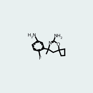 CC1(c2cc(N)ccc2F)CC2(CCC2)OC(N)=N1